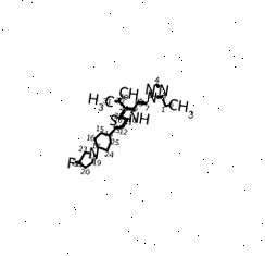 CCc1ncnn1/C=C/c1[nH]c2cc(C3CCC(N4CCC(F)C4)CC3)sc2c1C(C)C